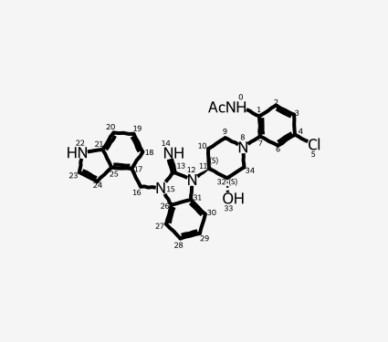 CC(=O)Nc1ccc(Cl)cc1N1CC[C@H](n2c(=N)n(Cc3cccc4[nH]ccc34)c3ccccc32)[C@@H](O)C1